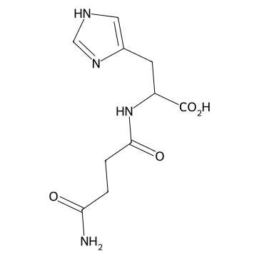 NC(=O)CCC(=O)NC(Cc1c[nH]cn1)C(=O)O